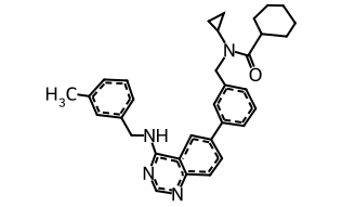 Cc1cccc(CNc2ncnc3ccc(-c4cccc(CN(C(=O)C5CCCCC5)C5CC5)c4)cc23)c1